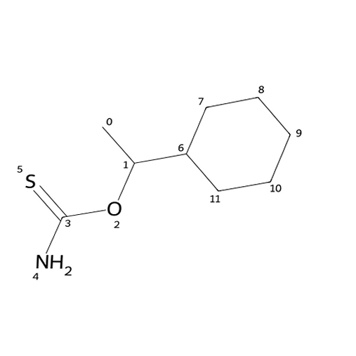 CC(OC(N)=S)C1CCCCC1